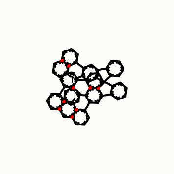 c1ccc(-c2cc3c(cc2N(c2ccccc2)c2ccccc2)C2(c4ccccc4-3)c3ccccc3-c3cc(-c4ccccc4)c(N(c4ccccc4)c4c(-c5ccccc5)cccc4-c4ccccc4)cc32)cc1